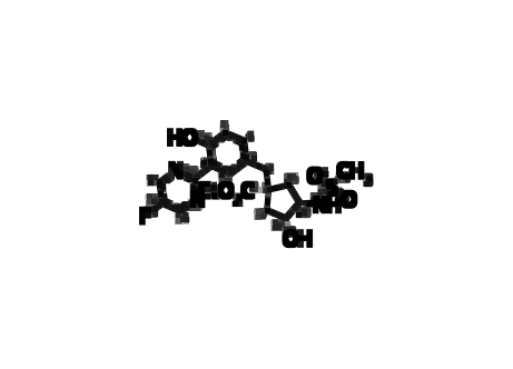 CCOC(=O)[C@@]1(Cc2ccc(O)c(-c3ncc(F)cn3)c2)C[C@@H](O)[C@H](NS(C)(=O)=O)C1